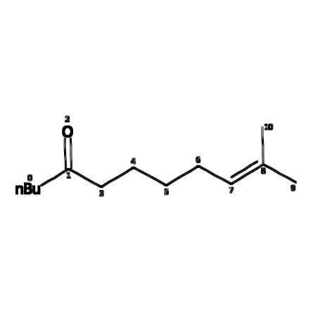 CCCCC(=O)CCCCC=C(C)C